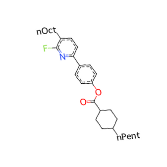 CCCCCCCCc1ccc(-c2ccc(OC(=O)C3CCC(CCCCC)CC3)cc2)nc1F